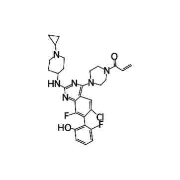 C=CC(=O)N1CCN(c2nc(NC3CCN(C4CC4)CC3)nc3c(F)c(-c4c(O)cccc4F)c(Cl)cc23)CC1